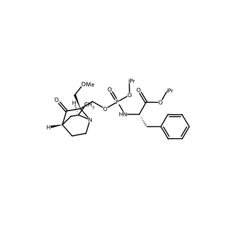 COC[C@]1(COP(=O)(N[C@@H](Cc2ccccc2)C(=O)OC(C)C)OC(C)C)C(=O)[C@H]2CCN1[C@H](C)C2